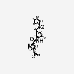 C[C@H]1CN(CC(=O)N2CCCC2)C[C@H]1NC(=O)c1cc(C2CC2)on1